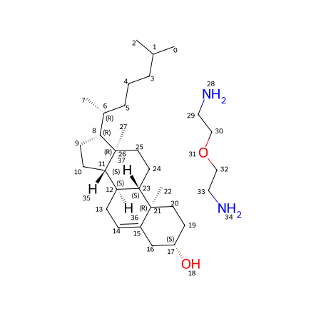 CC(C)CCC[C@@H](C)[C@H]1CC[C@H]2[C@@H]3CC=C4C[C@@H](O)CC[C@]4(C)[C@H]3CC[C@]12C.NCCOCCN